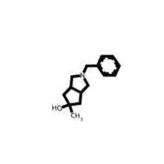 CC1(O)CC2CN(Cc3ccccc3)CC2C1